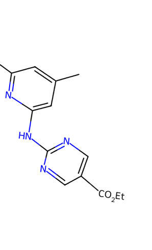 CCOC(=O)c1cnc(Nc2cc(C)cc(C)n2)nc1